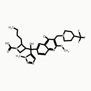 CCCCC1C(C(O)(c2ccc3nc(OC)c(CN4CCC(C(F)(F)F)CC4)c(Cl)c3c2)c2cnnn2C)CN1C(=O)O